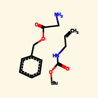 C=CCNC(=O)OC(C)(C)C.NCC(=O)OCc1ccccc1